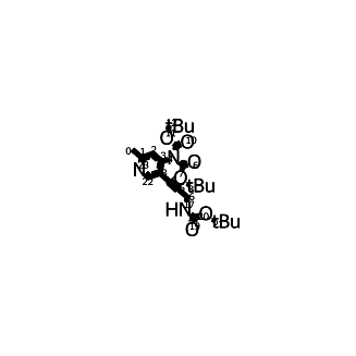 Cc1cc(N(C(=O)OC(C)(C)C)C(=O)OC(C)(C)C)c(C#CCNC(=O)OC(C)(C)C)cn1